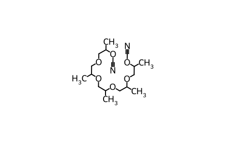 CC(COCC(C)OCC(C)OCC(C)OCC(C)OC#N)OC#N